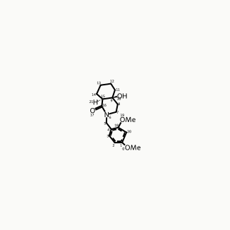 COc1ccc(CN2CC[C@@]3(O)CCCC[C@@H]3C2=O)c(OC)c1